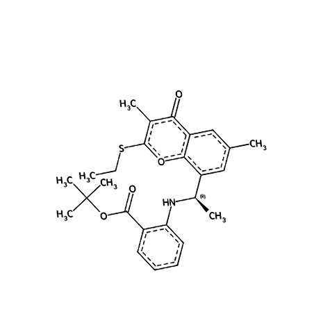 CCSc1oc2c([C@@H](C)Nc3ccccc3C(=O)OC(C)(C)C)cc(C)cc2c(=O)c1C